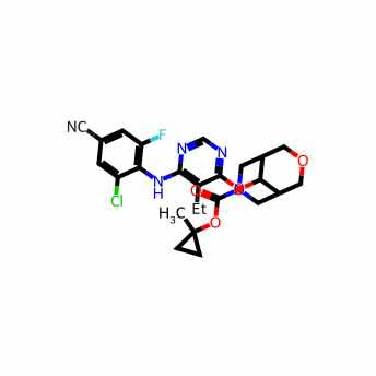 CCc1c(Nc2c(F)cc(C#N)cc2Cl)ncnc1OC1C2COCC1CN(C(=O)OC1(C)CC1)C2